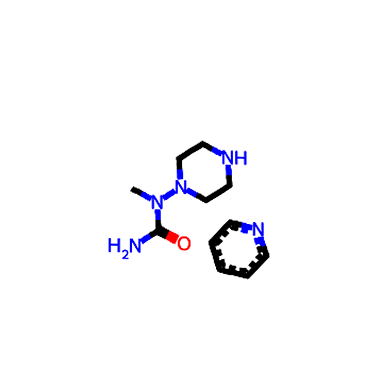 CN(C(N)=O)N1CCNCC1.c1ccncc1